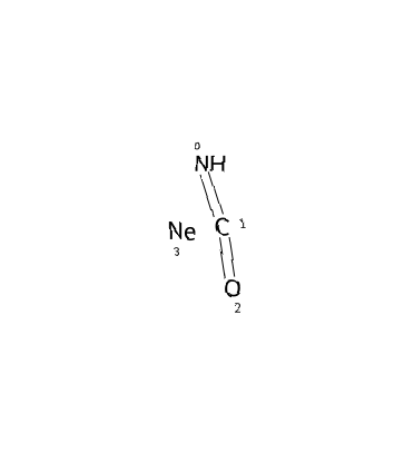 N=C=O.[Ne]